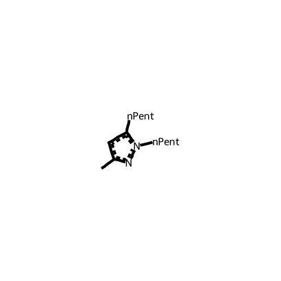 CCCCCc1cc(C)nn1CCCCC